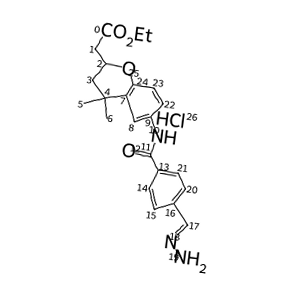 CCOC(=O)CC1CC(C)(C)c2cc(NC(=O)c3ccc(C=NN)cc3)ccc2O1.Cl